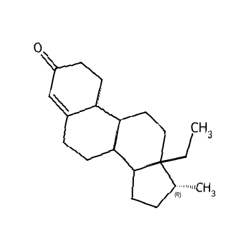 CCC12CCC3C4CCC(=O)C=C4CCC3C1CC[C@H]2C